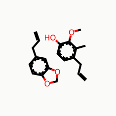 C=CCc1ccc(O)c(OC)c1C.C=CCc1ccc2c(c1)OCO2